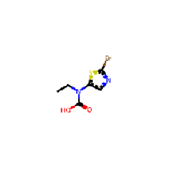 CCN(C(=O)O)c1cnc(Br)s1